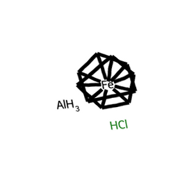 Cl.[AlH3].[CH]12[CH]3[CH]4[CH]5[CH]1[Fe]23451678[CH]2[CH]1[CH]6[CH]7[CH]28